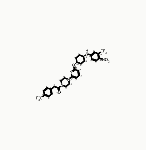 O=C(Cc1ccc(C(F)(F)F)cc1)N1CCN(c2cccc(O[C@H]3CC[C@H](Nc4ccc([N+](=O)[O-])c(C(F)(F)F)c4)CC3)n2)CC1